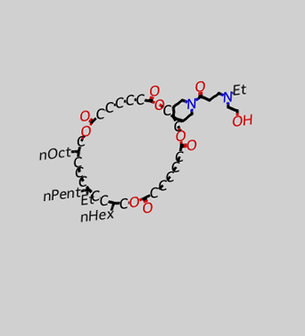 CCCCCCCCC1CCCC(CC)(CCCCC)CCC(CCCCCC)COC(=O)CCCCCC(=O)OCC2(CCN(C(=O)CCN(CC)CCO)CC2)COC(=O)CCCCCC(=O)OC1